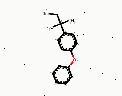 CC(C)(C)CC(C)(C)c1ccc(Oc2[c]cccc2)cc1